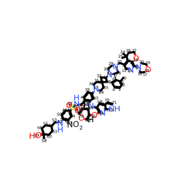 Cc1ccccc1[C@@H]1CN(Cc2cnc(N3CCOCC3)c3c2C(C)(C)CCO3)CCN1C1CC2(CCN(c3ccc(C(=O)NS(=O)(=O)c4ccc(NCC5CCC(C)(O)CC5)c([N+](=O)[O-])c4)c(N4c5cc6cc[nH]c6nc5O[C@H]5COCC[C@@H]54)c3)CC2)C1